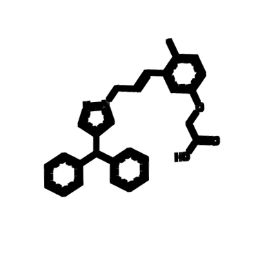 Cc1ccc(OCC(=O)O)cc1C=CCn1cc(C(c2ccccc2)c2ccccc2)cn1